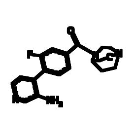 Nc1cnccc1-c1ccc(C(=O)N2CCN3CCC2CC3)cc1F